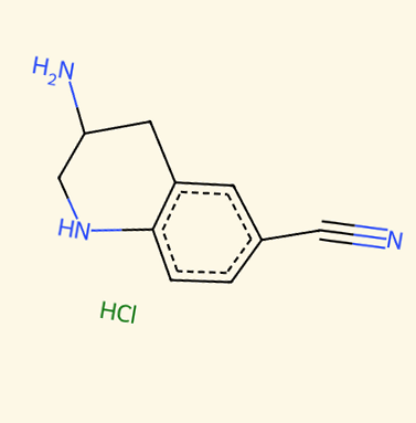 Cl.N#Cc1ccc2c(c1)CC(N)CN2